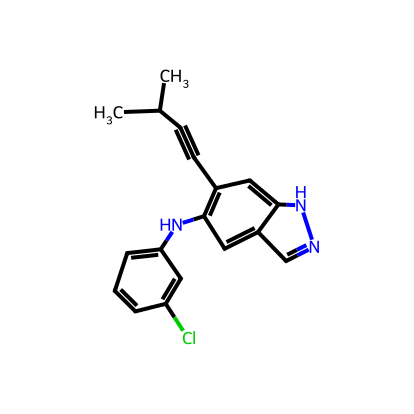 CC(C)C#Cc1cc2[nH]ncc2cc1Nc1cccc(Cl)c1